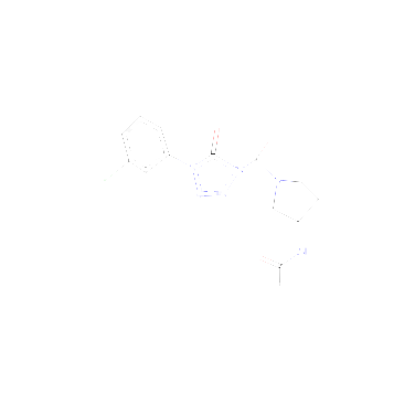 CC(=O)N[C@H]1CCN(C(O)n2nnn(-c3cccc(Cl)c3)c2=O)C1